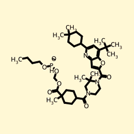 CCCCO[PH](=O)OCOC(=O)C1(C)CCC(C(=O)N2CCN(C(=O)c3cc4nc(C5CCC(C)(C)CC5)cc(C(C)(C)C)c4o3)C(C)(C)C2)CC1